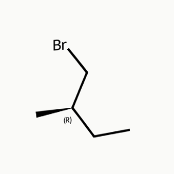 CC[C@@H](C)CBr